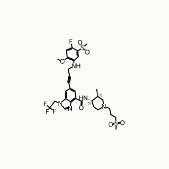 COc1cc(F)c(S(C)(=O)=O)cc1NCC#Cc1cc(C(=O)N[C@H]2CCN(CCCS(C)(=O)=O)C[C@@H]2C)c2ncn(CC(F)(F)F)c2c1